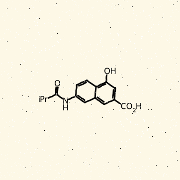 CC(C)C(=O)Nc1ccc2c(O)cc(C(=O)O)cc2c1